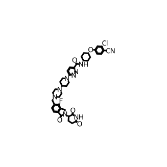 N#Cc1ccc(O[C@H]2CC[C@H](NC(=O)c3ccc(N4CCC(N5CCN(Cc6ccc7c(c6F)CN(C6CCC(=O)NC6=O)C7=O)CC5)CC4)nn3)CC2)cc1Cl